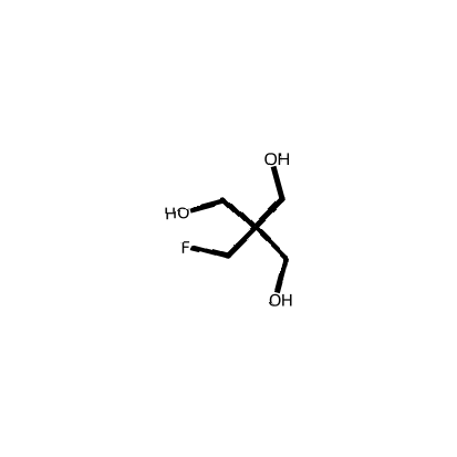 OCC(CO)(CO)CF